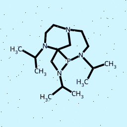 CC(C)N1CCN2CCN(C(C)C)C3(C2)CN(C(C)C)P13